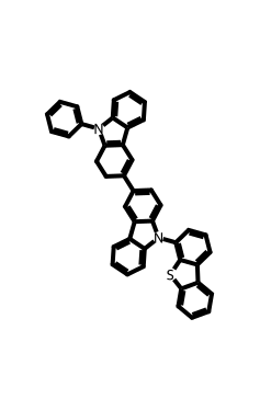 C1=C(c2ccc3c(c2)c2ccccc2n3-c2cccc3c2sc2ccccc23)CCc2c1c1ccccc1n2-c1ccccc1